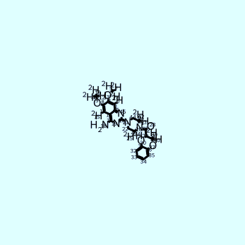 [2H]c1c(OC([2H])([2H])[2H])c(OC([2H])([2H])[2H])c([2H])c2c(N)nc(N3CC([2H])([2H])N(C(=O)C4Oc5ccccc5OC4([2H])[2H])C([2H])([2H])C3)nc12